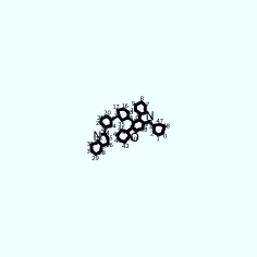 c1ccc(-c2nc3ccccc3c3c(-c4cccc(-c5cccc(-c6ccc7ccccc7n6)c5)c4)c4c(cc23)oc2ccccc24)cc1